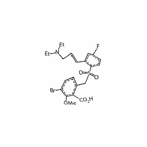 CCN(CC)CC=Cc1cc(F)ccc1S(=O)(=O)Cc1ccc(Br)c(OC)c1C(=O)O